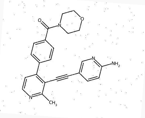 Cc1nccc(-c2ccc(C(=O)N3CCOCC3)cc2)c1C#Cc1ccc(N)nc1